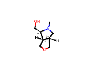 CN1C[C@@H]2COC[C@@H]2[C@H]1CO